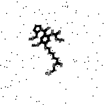 COc1cc(C(=O)N2CCCC2CO)c(NC(=O)OC(C)(C)C)cc1OCCCCCC(=O)OCC(Cl)(Cl)Cl